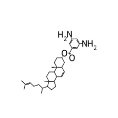 CC(C)=CCCC(C)C1CCC2C3C=CC4CC(OC(=O)c5cc(N)cc(N)c5)CC[C@@]4(C)C3CCC12C